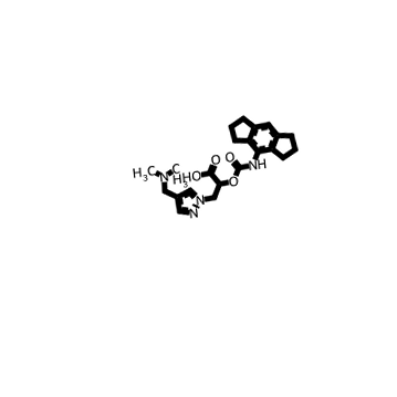 CN(C)Cc1cnn(CC(OC(=O)Nc2c3c(cc4c2CCC4)CCC3)C(=O)O)c1